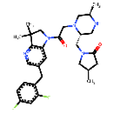 CC1CC(=O)N(C[C@H]2CN[C@H](C)CN2CC(=O)N2CC(C)(C)c3ncc(Cc4ccc(F)cc4F)cc32)C1